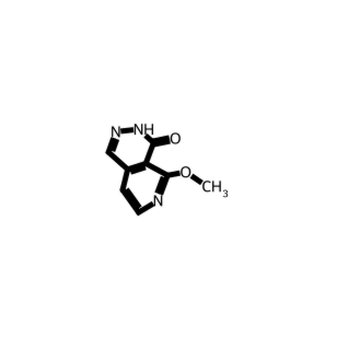 COc1nccc2cn[nH]c(=O)c12